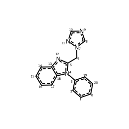 c1ccc(-n2c(Cn3cncn3)nc3ccccc32)cc1